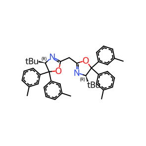 Cc1cccc(C2(c3cccc(C)c3)OC(CC3=N[C@H](C(C)(C)C)C(c4cccc(C)c4)(c4cccc(C)c4)O3)=N[C@@H]2C(C)(C)C)c1